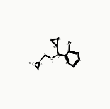 Brc1ccccc1[C@@H](OC[C@H]1CO1)C1CC1